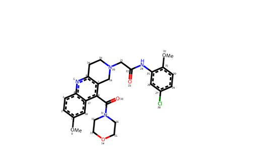 COc1ccc2nc3c(c(C(=O)N4CCOCC4)c2c1)CN(CC(=O)Nc1cc(Cl)ccc1OC)CC3